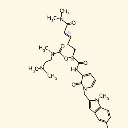 CN(C)CCN(C)C(=O)O[C@@H](CC/C=C/C(=O)N(C)C)C(=O)Nc1cccn(Cc2cc3cc(F)ccc3n2C)c1=O